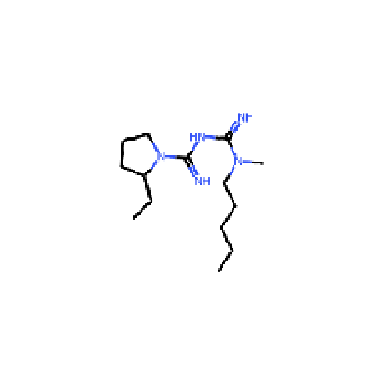 CCCCCN(C)C(=N)NC(=N)N1CCCC1CC